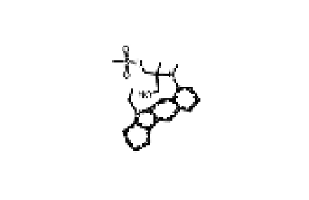 CCn1c2ccccc2c2cc3cccc(N(C)C(C)(CO)COS(C)(=O)=O)c3cc21